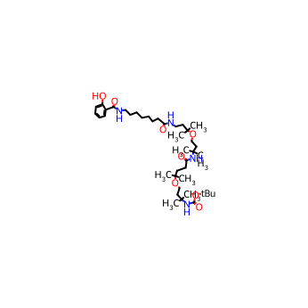 CC(C)(CCOC(C)(C)CCNC(=O)CCCCCCCNC(=O)c1ccccc1O)NC(=O)CCC(C)(C)OCCC(C)(C)NC(=O)OC(C)(C)C